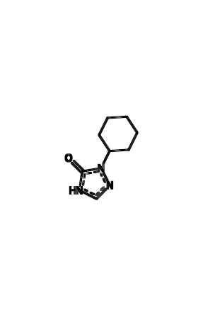 O=c1[nH]cnn1C1CCCCC1